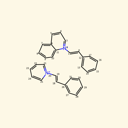 C(=C[n+]1cccc2ccccc21)c1ccccc1.C(=C[n+]1ccccc1)c1ccccc1